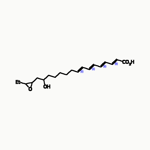 CCC1OC1CC(O)CCCCC/C=C/C=C/C=C/C=C/C(=O)O